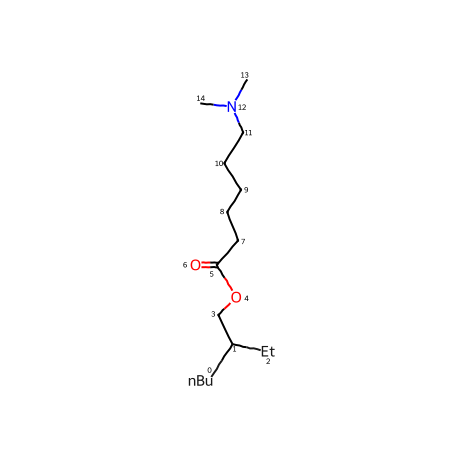 CCCCC(CC)COC(=O)CCCCCN(C)C